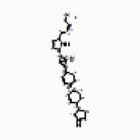 NC/C=C\CC1C=CC([C@@H]2C3C(C4C=CC([C@@H]5C=CC(C6CCNC6)CC5)CC4)[C@@H]32)N1